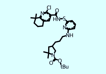 CC(C)(C)OC(=O)N1CC(CCCNc2cccc(SNC(=O)c3cc4c(nc3Cl)C(C)(C)CCC4)n2)CC1(C)C